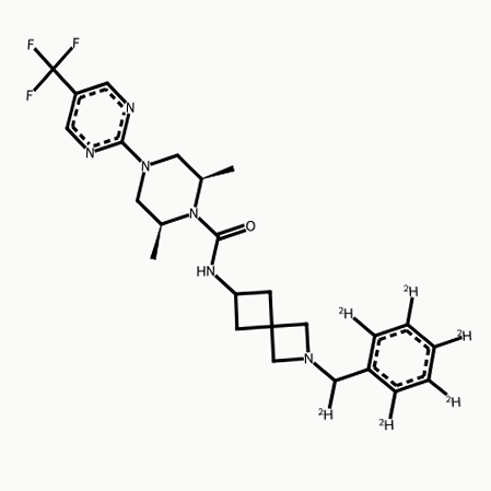 [2H]c1c([2H])c([2H])c(C([2H])N2CC3(CC(NC(=O)N4[C@H](C)CN(c5ncc(C(F)(F)F)cn5)C[C@@H]4C)C3)C2)c([2H])c1[2H]